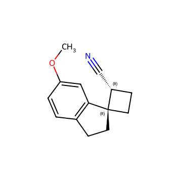 COc1ccc2c(c1)[C@@]1(CC2)CC[C@H]1C#N